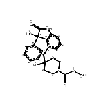 CC(C)(C)OC(=O)N1CCC(C#N)(Cc2cccc3c2C(O)(c2ccccc2)C(=O)N3)CC1